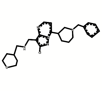 Clc1nn2c(C3CCCN(Cc4ccccc4)C3)ccnc2c1CNCC1CCOCC1